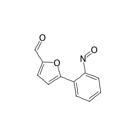 O=Cc1ccc(-c2ccccc2N=O)o1